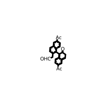 CC(=O)c1ccc2c(c1)=CCC(=O)C=2c1c(CC=O)ccc2cc(C(C)=O)ccc12